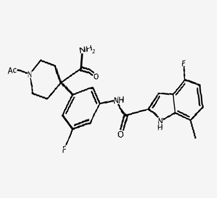 CC(=O)N1CCC(C(N)=O)(c2cc(F)cc(NC(=O)c3cc4c(F)ccc(C)c4[nH]3)c2)CC1